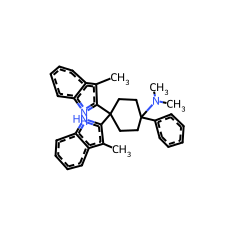 Cc1c(C2(c3[nH]c4ccccc4c3C)CCC(c3ccccc3)(N(C)C)CC2)[nH]c2ccccc12